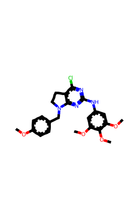 COc1ccc(CN2CCc3c(Cl)nc(Nc4cc(OC)c(OC)c(OC)c4)nc32)cc1